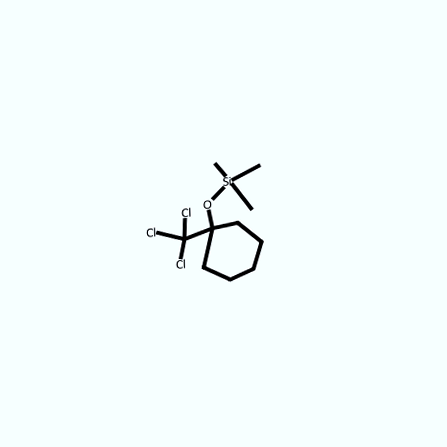 C[Si](C)(C)OC1(C(Cl)(Cl)Cl)CCCCC1